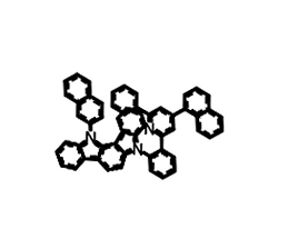 c1ccc(-c2cc(-c3cccc4ccccc34)cc(-c3ccccc3-n3c4ccccc4c4c3ccc3c5ccccc5n(-c5ccc6ccccc6c5)c34)n2)cc1